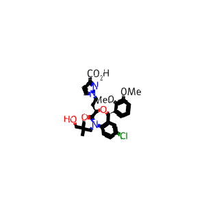 COc1cccc([C@H]2O[C@H](CCn3ccc(C(=O)O)n3)C(=O)N(CC(C)(C)CO)c3ccc(Cl)cc32)c1OC